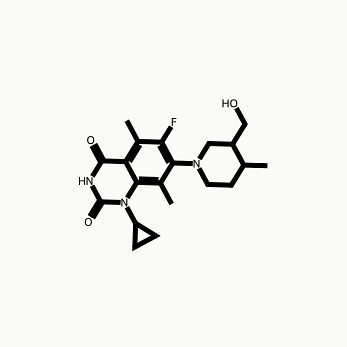 Cc1c(F)c(N2CCC(C)C(CO)C2)c(C)c2c1c(=O)[nH]c(=O)n2C1CC1